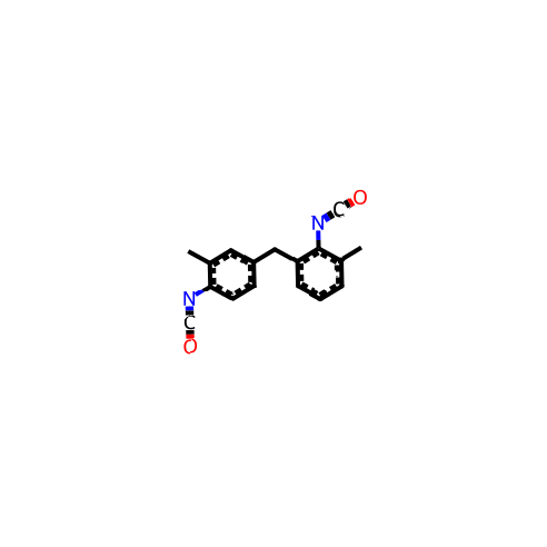 Cc1cc(Cc2cccc(C)c2N=C=O)ccc1N=C=O